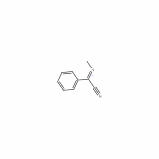 C/N=C(/C#N)c1ccccc1